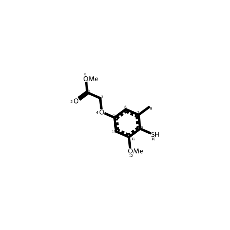 COC(=O)COc1cc(C)c(S)c(OC)c1